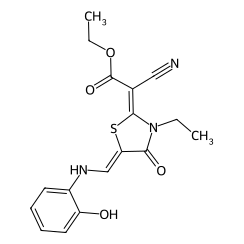 CCOC(=O)C(C#N)=c1sc(=CNc2ccccc2O)c(=O)n1CC